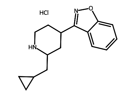 Cl.c1ccc2c(C3CCNC(CC4CC4)C3)noc2c1